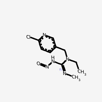 CCN(Cc1ccc(Cl)nc1)/C(=N\C)NN=O